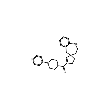 O=C(C1=CC2(CCNc3ccccc3C2)CC1)N1CCN(c2ccncc2)CC1